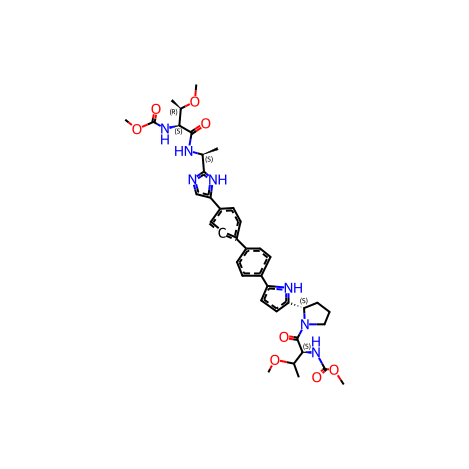 COC(=O)N[C@H](C(=O)N1CCC[C@H]1c1ccc(-c2ccc(-c3ccc(-c4cnc([C@H](C)NC(=O)[C@@H](NC(=O)OC)[C@@H](C)OC)[nH]4)cc3)cc2)[nH]1)C(C)OC